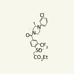 CCOC(=O)C[S+]([O-])c1ccc(C(=O)N2CCN(c3cccc(Cl)c3)[C@H](C)[C@H]2C)cc1C(F)(F)F